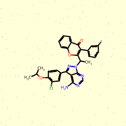 CC(C)Oc1ccc(-c2nn(C(C)c3oc4ccccc4c(=O)c3-c3cccc(I)c3)c3ncnc(N)c23)cc1Cl